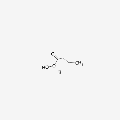 CCCC(=O)OO.[Ti]